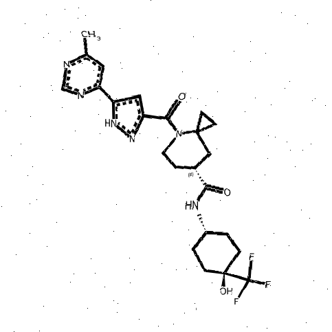 Cc1cc(-c2cc(C(=O)N3CC[C@@H](C(=O)N[C@H]4CC[C@@](O)(C(F)(F)F)CC4)CC34CC4)n[nH]2)ncn1